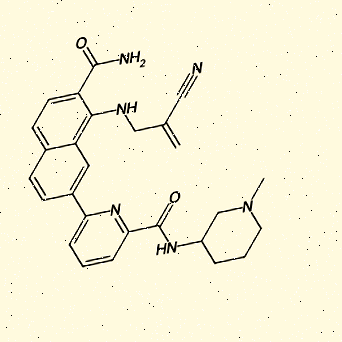 C=C(C#N)CNc1c(C(N)=O)ccc2ccc(-c3cccc(C(=O)NC4CCCN(C)C4)n3)cc12